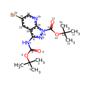 CC(C)(C)OC(=O)Nc1nn(C(=O)OC(C)(C)C)c2ncc(Br)cc12